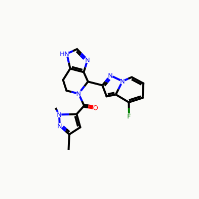 Cc1cc(C(=O)N2CCc3[nH]cnc3C2c2cc3c(F)cccn3n2)n(C)n1